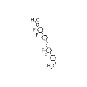 C=CC1CCC(c2ccc(CCc3ccc(-c4ccc(OCC)c(F)c4F)cc3)c(F)c2F)CC1